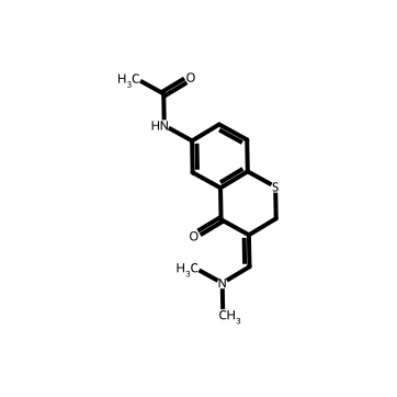 CC(=O)Nc1ccc2c(c1)C(=O)C(=CN(C)C)CS2